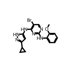 COc1ccccc1Nc1ncc(Br)c(Nc2cc(C3CC3)n[nH]2)n1